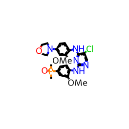 COc1cc(P(C)(C)=O)ccc1Nc1ncc(Cl)c(Nc2ccc(N3CCOCC3)cc2OC)n1